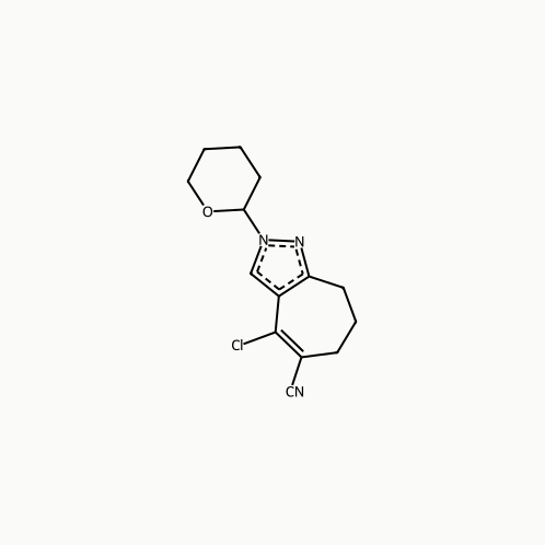 N#CC1=C(Cl)c2cn(C3CCCCO3)nc2CCC1